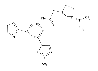 Cc1ccc(-c2nc(NC(=O)CN3CC[C@H](N(C)C)C3)cc(-c3nccs3)n2)o1